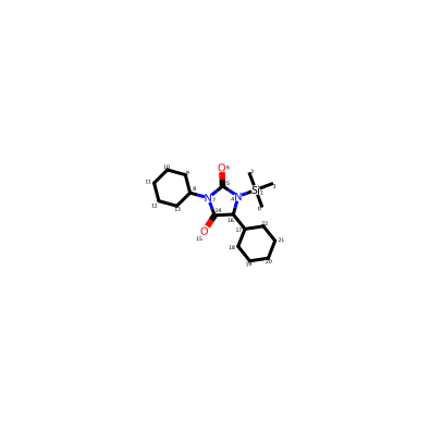 C[Si](C)(C)N1C(=O)N(C2CCCCC2)C(=O)C1C1CCCCC1